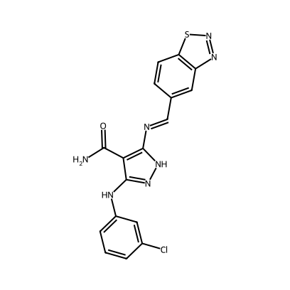 NC(=O)c1c(Nc2cccc(Cl)c2)n[nH]c1/N=C/c1ccc2snnc2c1